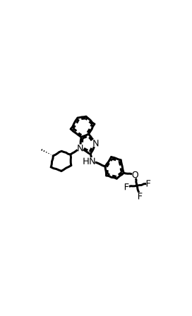 C[C@H]1CCCC(n2c(Nc3ccc(OC(F)(F)F)cc3)nc3ccccc32)C1